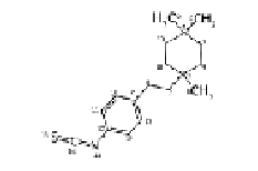 CC1(C)CCC(C)(CCc2ccc(N=C=S)cc2)CC1